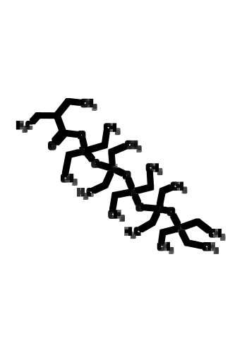 CCC(CC)C(=O)O[Si](CC)(CC)O[Si](CC)(CC)O[Si](CC)(CC)O[Si](CC)(CC)O[Si](CC)(CC)CC